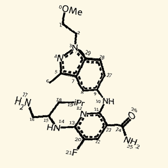 COCCn1nc(C)c2cc(Nc3nc(NC(CN)CC(C)C)c(F)cc3C(N)=O)ccc21